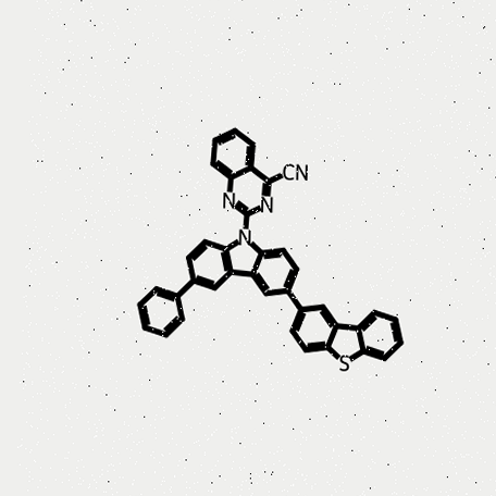 N#Cc1nc(-n2c3ccc(-c4ccccc4)cc3c3cc(-c4ccc5sc6ccccc6c5c4)ccc32)nc2ccccc12